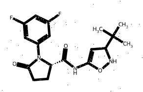 CC(C)(C)C1C=C(NC(=O)[C@@H]2CCC(=O)N2c2cc(F)cc(F)c2)ON1